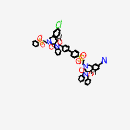 N#Cc1ccc2c(c1)CN(CCS(=O)(=O)c1ccc(-c3ccc(C4=N[C@]5(Cc6ccccc6)C(=O)N(CCS(=O)(=O)c6ccccc6)Cc6cc(Cl)ccc6[C@@H]5O4)cc3)cc1)C(=O)[C@@]1(Cc3ccccc3)N=C(c3ccccc3)O[C@@H]21